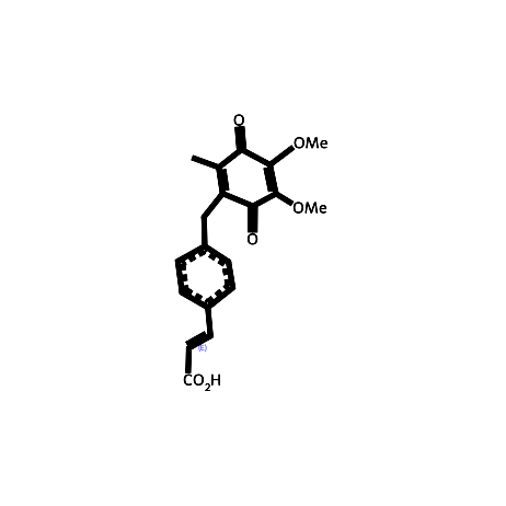 COC1=C(OC)C(=O)C(Cc2ccc(/C=C/C(=O)O)cc2)=C(C)C1=O